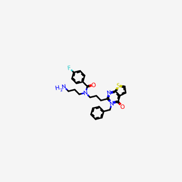 NCCCN(CCCc1nc2sccc2c(=O)n1Cc1ccccc1)C(=O)c1ccc(F)cc1